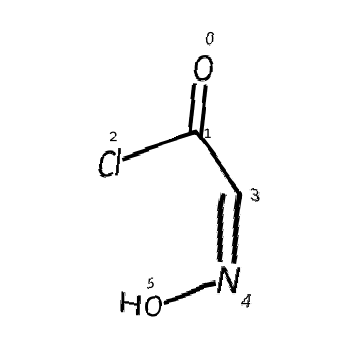 O=C(Cl)/C=N\O